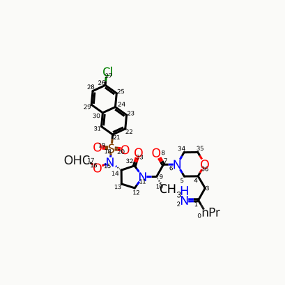 CCCC(=N)CC1CN(C(=O)[C@H](C)N2CC[C@H](N(OC=O)S(=O)(=O)c3ccc4cc(Cl)ccc4c3)C2=O)CCO1